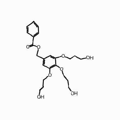 O=C(OCc1cc(OCCCO)c(OCCCO)c(OCCCO)c1)c1ccccc1